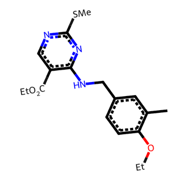 CCOC(=O)c1cnc(SC)nc1NCc1ccc(OCC)c(C)c1